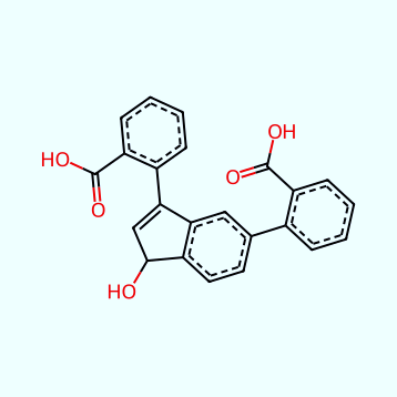 O=C(O)c1ccccc1C1=CC(O)c2ccc(-c3ccccc3C(=O)O)cc21